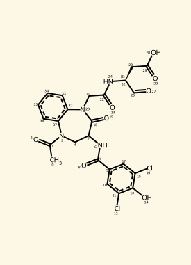 CC(=O)N1CC(NC(=O)c2cc(Cl)c(O)c(Cl)c2)C(=O)N(CC(=O)N[C@H](C=O)CC(=O)O)c2ccccc21